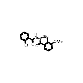 CCc1ccccc1C(=O)NN(C(=O)c1cccc(OC)c1C)C(C)(C)C